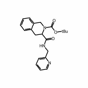 CC(C)(C)OC(=O)N1Cc2ccccc2CC1C(=O)NCc1ccccn1